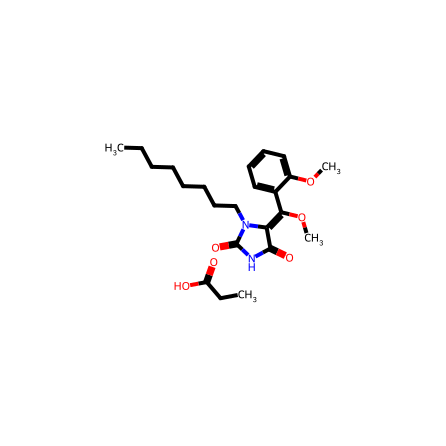 CCC(=O)O.CCCCCCCCN1C(=O)NC(=O)C1=C(OC)c1ccccc1OC